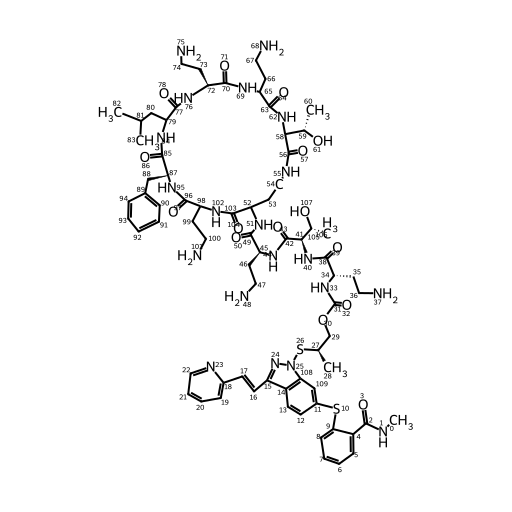 CNC(=O)c1ccccc1Sc1ccc2c(/C=C/c3ccccn3)nn(S[C@H](C)COC(=O)N[C@@H](CCN)C(=O)N[C@@H](C(=O)N[C@@H](CCN)C(=O)NC3CCNC(=O)C([C@H](C)O)NC(=O)C(CCN)NC(=O)[C@H](CCN)NC(=O)C(CC(C)C)NC(=O)[C@H](Cc4ccccc4)NC(=O)C(CCN)NC3=O)[C@@H](C)O)c2c1